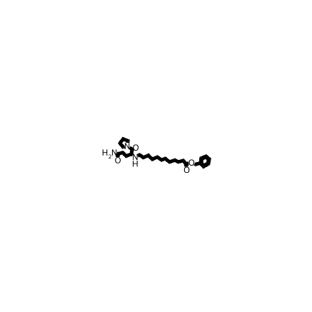 NC(=O)CCC(NCCCCCCCCCCCC(=O)OCc1ccccc1)C(=O)N1CCCC1